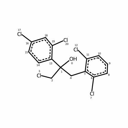 OC(CCl)(Cc1c(Cl)cccc1Cl)c1ccc(Cl)cc1Cl